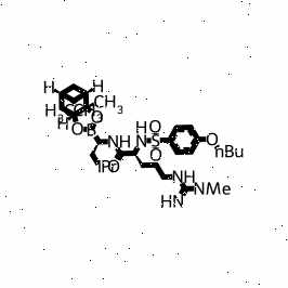 CCCCOc1ccc(S(=O)(=O)N[C@@H](CCCNC(=N)NC)C(=O)N[C@@H](CC(C)C)B2O[C@@H]3C[C@@H]4C[C@@H](C4(C)C)[C@]3(C)O2)cc1